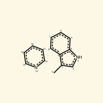 Cc1c[nH]c2ccccc12.c1ccncc1